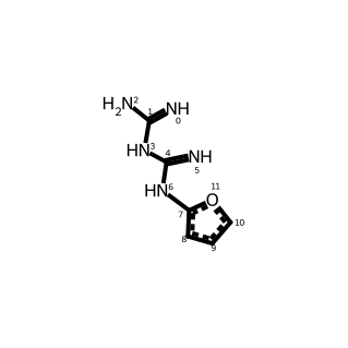 N=C(N)NC(=N)Nc1ccco1